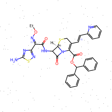 CCO/N=C(\C(=O)NC1C(=O)N2C(C(=O)OC(c3ccccc3)c3ccccc3)=C(/C=C/c3ccccn3)CS[C@H]12)c1nsc(N)n1